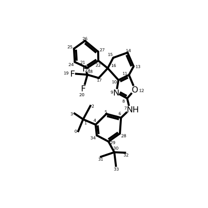 CC(C)(C)c1cc(Nc2nc3c(o2)C=CCC3(CC(F)(F)F)c2ccccc2)cc(C(C)(C)C)c1